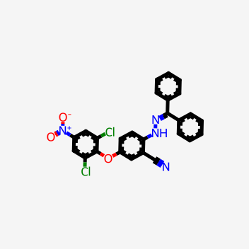 N#Cc1cc(Oc2c(Cl)cc([N+](=O)[O-])cc2Cl)ccc1NN=C(c1ccccc1)c1ccccc1